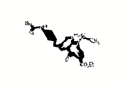 CCOC(=O)c1cn(N(C)C)c2ncc(CCCNC(=O)C(C)(C)C)cc2c1=O